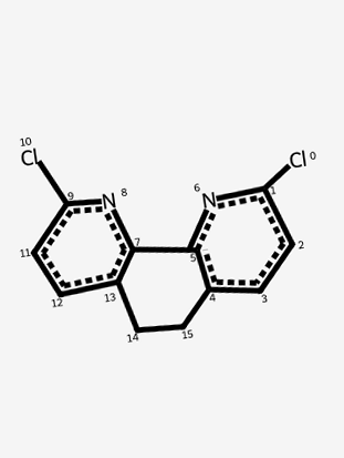 Clc1ccc2c(n1)-c1nc(Cl)ccc1CC2